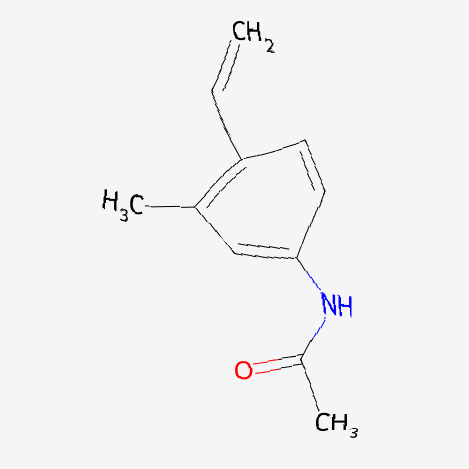 C=Cc1ccc(NC(C)=O)cc1C